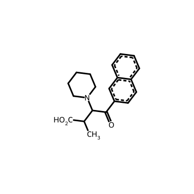 CC(C(=O)O)C(C(=O)c1ccc2ccccc2c1)N1CCCCC1